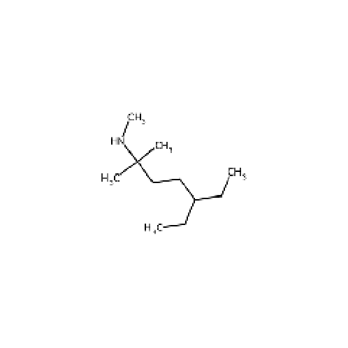 CCC(CC)CCC(C)(C)NC